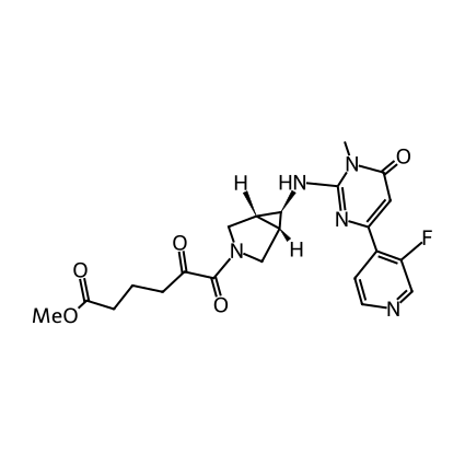 COC(=O)CCCC(=O)C(=O)N1C[C@@H]2[C@H](C1)[C@H]2Nc1nc(-c2ccncc2F)cc(=O)n1C